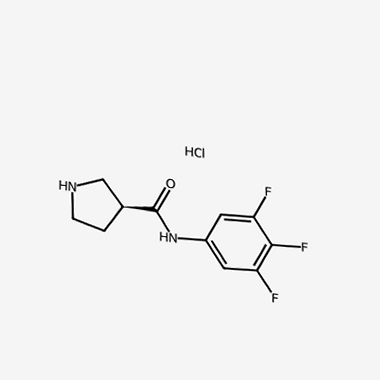 Cl.O=C(Nc1cc(F)c(F)c(F)c1)[C@H]1CCNC1